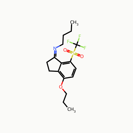 CCCC/N=C1/CCc2c(OCCC)ccc(S(=O)(=O)C(F)(F)F)c21